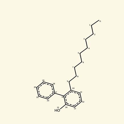 CCCCCCCCCCc1cccc(O)c1-c1ccccc1